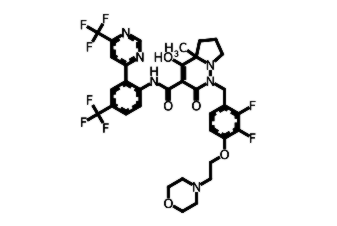 CC12CCCN1N(Cc1ccc(OCCN3CCOCC3)c(F)c1F)C(=O)C(C(=O)Nc1ccc(C(F)(F)F)cc1-c1cc(C(F)(F)F)ncn1)=C2O